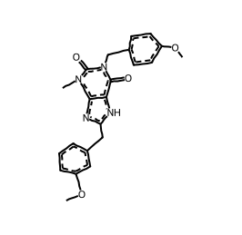 COc1ccc(Cn2c(=O)c3[nH]c(Cc4cccc(OC)c4)nc3n(C)c2=O)cc1